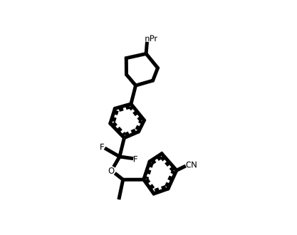 CCCC1CCC(c2ccc(C(F)(F)OC(C)c3ccc(C#N)cc3)cc2)CC1